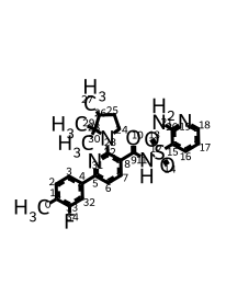 Cc1ccc(-c2ccc(C(=O)NS(=O)(=O)c3cccnc3N)c(N3CCC(C)C3(C)C)n2)cc1F